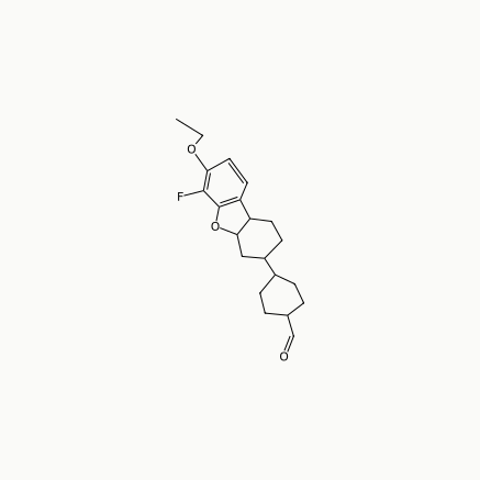 CCOc1ccc2c(c1F)OC1CC(C3CCC(C=O)CC3)CCC21